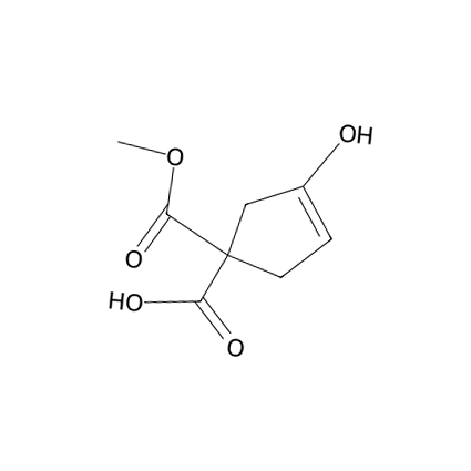 COC(=O)C1(C(=O)O)CC=C(O)C1